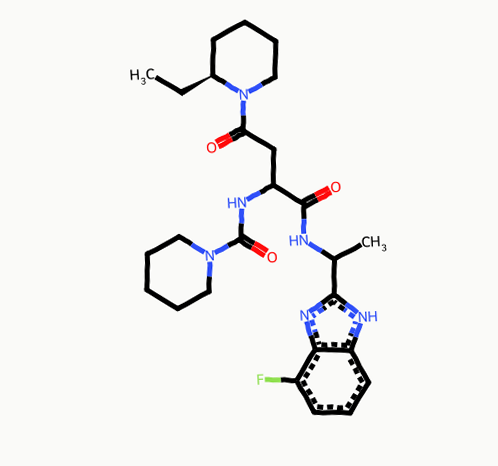 CC[C@H]1CCCCN1C(=O)CC(NC(=O)N1CCCCC1)C(=O)NC(C)c1nc2c(F)cccc2[nH]1